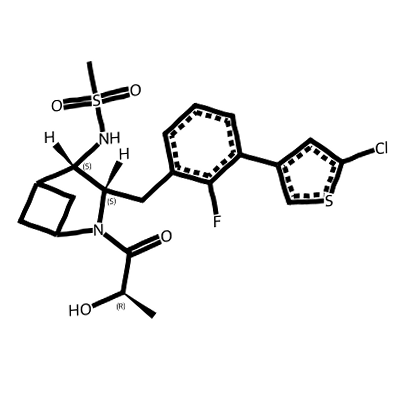 C[C@@H](O)C(=O)N1C2CC(C2)[C@H](NS(C)(=O)=O)[C@@H]1Cc1cccc(-c2csc(Cl)c2)c1F